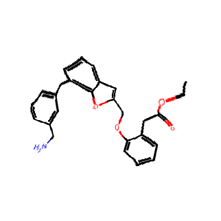 CCOC(=O)Cc1ccccc1OCc1cc2cccc(-c3cccc(CN)c3)c2o1